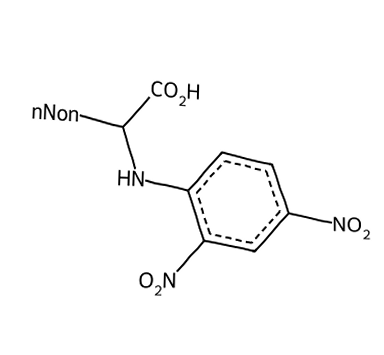 CCCCCCCCCC(Nc1ccc([N+](=O)[O-])cc1[N+](=O)[O-])C(=O)O